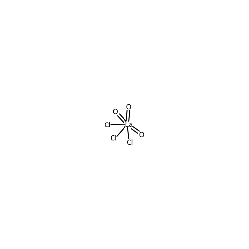 [O]=[La](=[O])(=[O])([Cl])([Cl])[Cl]